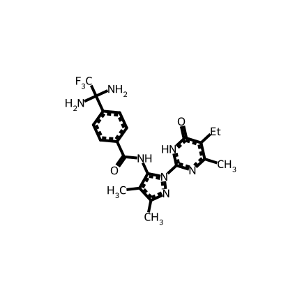 CCc1c(C)nc(-n2nc(C)c(C)c2NC(=O)c2ccc(C(N)(N)C(F)(F)F)cc2)[nH]c1=O